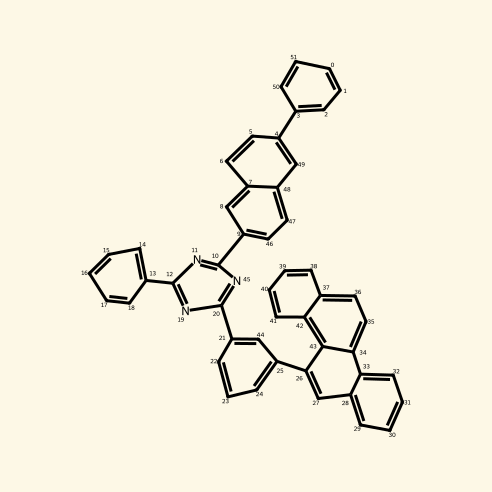 c1ccc(-c2ccc3cc(-c4nc(-c5ccccc5)nc(-c5cccc(-c6cc7ccccc7c7ccc8ccccc8c67)c5)n4)ccc3c2)cc1